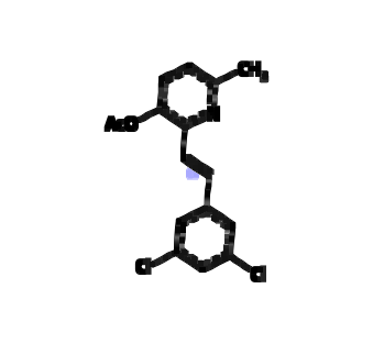 CC(=O)Oc1ccc(C)nc1/C=C/c1cc(Cl)cc(Cl)c1